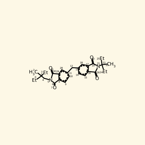 CCC(C)(CC)CN1C(=O)c2ccc(Cc3ccc4c(c3)C(=O)N(C(C)(CC)CC)C4=O)cc2C1=O